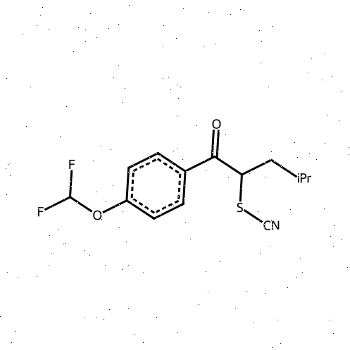 CC(C)CC(SC#N)C(=O)c1ccc(OC(F)F)cc1